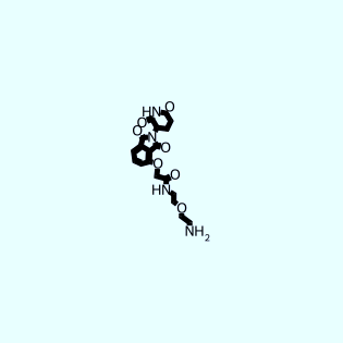 NCCOCCNC(=O)COc1cccc2c1C(=O)N(C1CCC(=O)NC1=O)C2=O